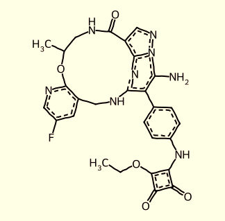 CCOc1c(Nc2ccc(-c3c4nc5c(cnn5c3N)C(=O)NCC(C)Oc3ncc(F)cc3CN4)cc2)c(=O)c1=O